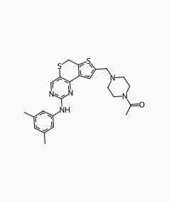 CC(=O)N1CCN(Cc2cc3c(s2)CSc2cnc(Nc4cc(C)cc(C)c4)nc2-3)CC1